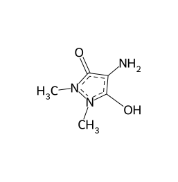 Cn1c(O)c(N)c(=O)n1C